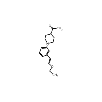 CCOC=Cc1cccc(N2CCN(C(C)=O)CC2)n1